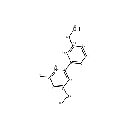 COc1cc(C)nc(-c2cccc(CO)n2)c1